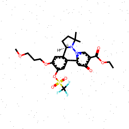 CCOC(=O)c1cn2c(cc1=O)-c1cc(OS(=O)(=O)C(F)(F)F)c(OCCCOC)cc1[C@H]1CCC(C)(C)N12